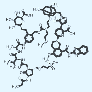 CCC(=O)N[C@H]1C[C@@H](COCCS(=O)(=O)O)N(CC(=O)N[C@H](C(=O)N[C@@H](C)C(=O)Nc2ccc(COC(=O)N(CCOC)CCOC34CC5(C)CC(C)(CC(Cn6ncc(-c7ccc(N8CCc9c(OC)ccc(C(=O)Nc%10nc%11ccccc%11s%10)c9C8)nc7C(=O)O)c6C)(C5)C3)C4)c(CC[C@@H]3O[C@H](C(=O)O)[C@@H](O)[C@H](O)[C@H]3O)c2)C(C)C)C1=O